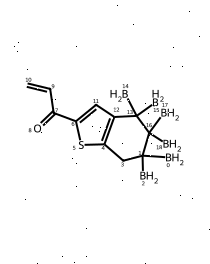 BC1(B)Cc2sc(C(=O)C=C)cc2C(B)(B)C1(B)B